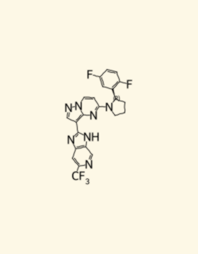 Fc1ccc(F)c([C@H]2CCCN2c2ccn3ncc(-c4nc5cc(C(F)(F)F)ncc5[nH]4)c3n2)c1